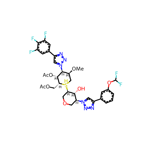 CO[C@H]1C[SH]([C@@H]2COC[C@H](n3cc(-c4cccc(OC(F)F)c4)nn3)[C@H]2O)[C@H](COC(C)=O)[C@H](OC(C)=O)[C@H]1n1cc(-c2cc(F)c(F)c(F)c2)nn1